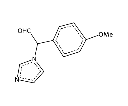 COc1ccc(C(C=O)n2ccnc2)cc1